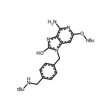 CCCCOc1cc2c(nc(O)n2Cc2ccc(CNC(C)(C)C)cc2)c(N)n1